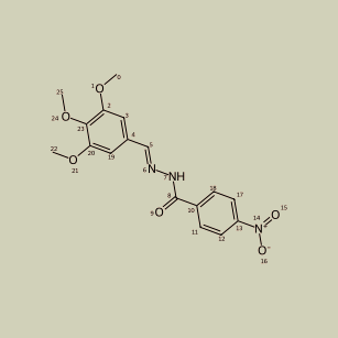 COc1cc(C=NNC(=O)c2ccc([N+](=O)[O-])cc2)cc(OC)c1OC